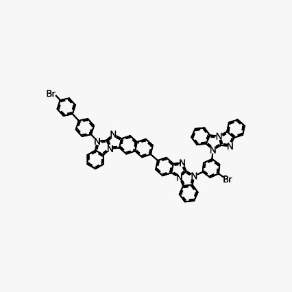 Brc1ccc(-c2ccc(-n3c4ccccc4n4c5cc6cc(-c7ccc8c(c7)nc7n(-c9cc(Br)cc(-n%10c%11ccccc%11n%11c%12ccccc%12nc%10%11)c9)c9ccccc9n87)ccc6cc5nc34)cc2)cc1